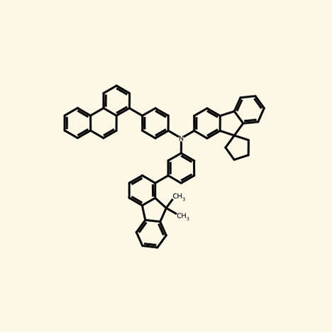 CC1(C)c2ccccc2-c2cccc(-c3cccc(N(c4ccc(-c5cccc6c5ccc5ccccc56)cc4)c4ccc5c(c4)C4(CCCC4)c4ccccc4-5)c3)c21